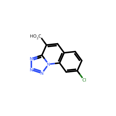 O=C(O)c1cc2ccc(Cl)cc2n2nnnc12